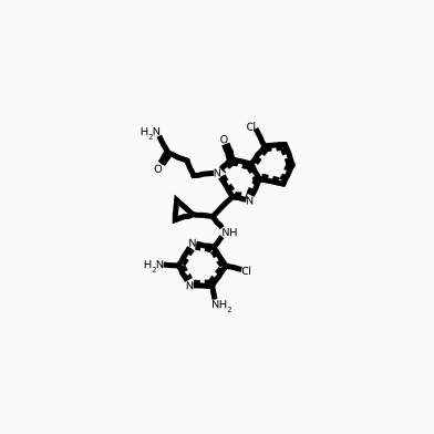 NC(=O)CCn1c(C(Nc2nc(N)nc(N)c2Cl)C2CC2)nc2cccc(Cl)c2c1=O